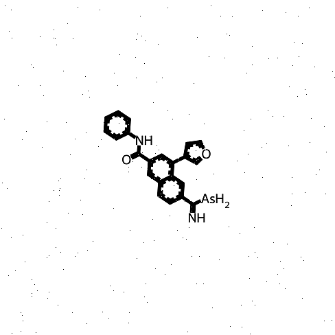 N=C([AsH2])c1ccc2cc(C(=O)Nc3ccccc3)cc(-c3ccoc3)c2c1